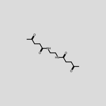 CC(=O)CCC(=O)NCCNC(=O)CCC(C)=O